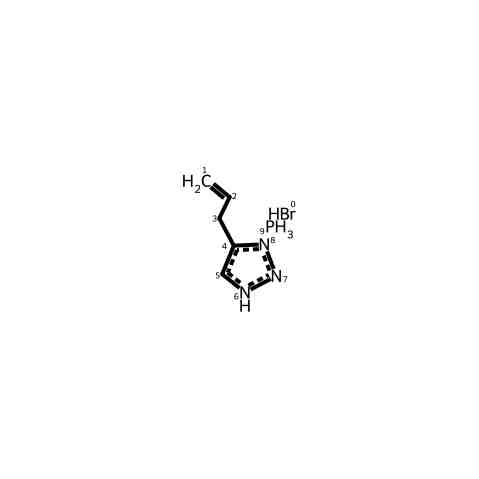 Br.C=CCc1c[nH]nn1.P